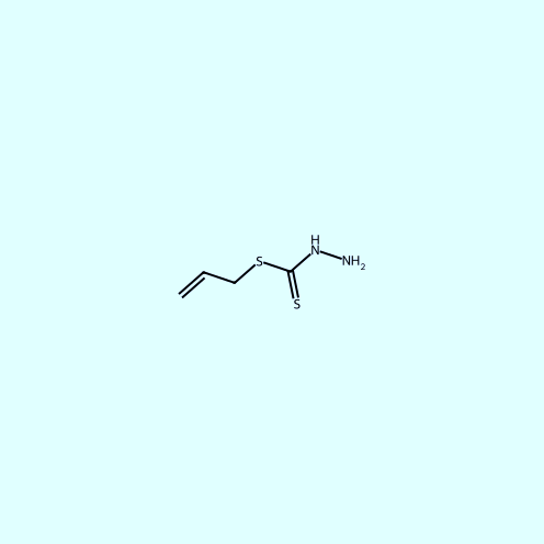 C=CCSC(=S)NN